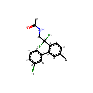 CC(=O)NCC(F)(F)c1ccc(C)cc1-c1cccc(F)c1